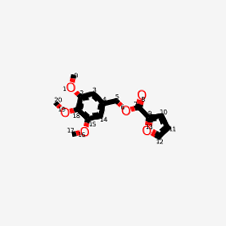 COc1cc(COC(=O)c2ccco2)cc(OC)c1OC